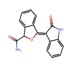 NC(=O)C1OC(=C2C(=O)Nc3ccccc32)c2c[c]ccc21